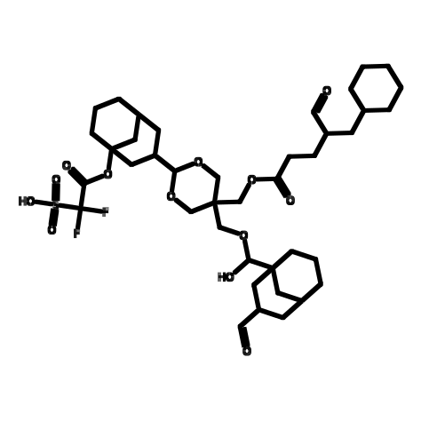 O=CC(CCC(=O)OCC1(COC(O)C23CCCC(CC(C=O)C2)C3)COC(C2CC3CCCC(OC(=O)C(F)(F)S(=O)(=O)O)(C3)C2)OC1)CC1CCCCC1